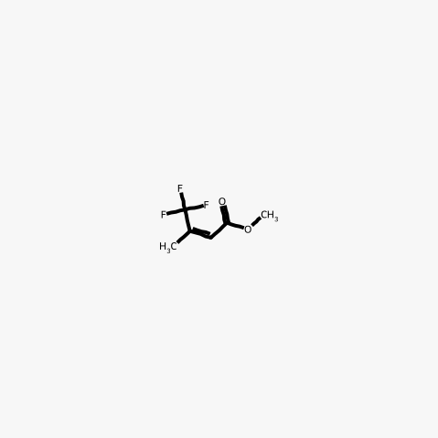 COC(=O)/C=C(/C)C(F)(F)F